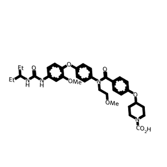 CCC(CC)NC(=O)Nc1ccc(Oc2ccc(N(CCOC)C(=O)c3ccc(OC4CCN(C(=O)O)CC4)cc3)cc2)c(OC)c1